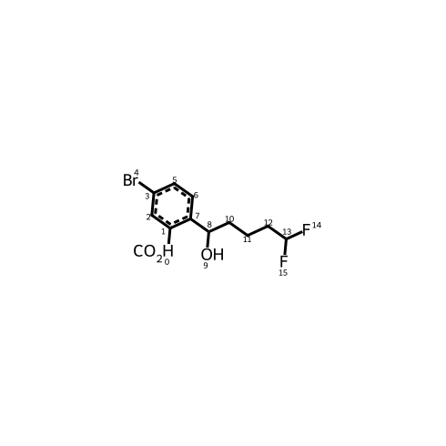 O=C(O)c1cc(Br)ccc1C(O)CCCC(F)F